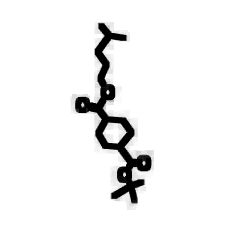 CC(C)CCCOC(=O)C1CCC(C(=O)OC(C)(C)C)CC1